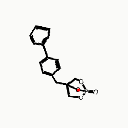 O=P12OCC(Cc3ccc(-c4ccccc4)cc3)(CO1)CO2